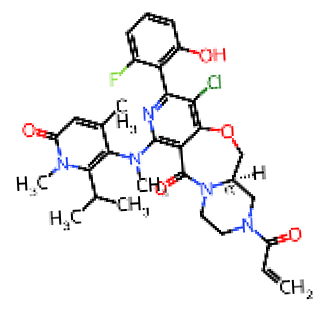 C=CC(=O)N1CCN2C(=O)c3c(N(C)c4c(C)cc(=O)n(C)c4C(C)C)nc(-c4c(O)cccc4F)c(Cl)c3OC[C@H]2C1